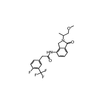 COCC(C)N1Cc2c(NC(=O)Cc3ccc(F)c(C(F)(F)F)c3)cccc2C1=O